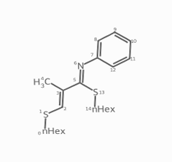 CCCCCCS/C=C(C)/C(=N/c1ccccc1)SCCCCCC